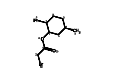 CC(C)C1CC[C@@H](C)CC1OC(=O)CBr